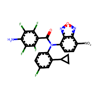 Nc1c(F)c(F)c(C(=O)N(c2ccc(F)cc2C2CC2)c2ccc([N+](=O)[O-])c3nonc23)c(F)c1F